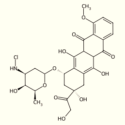 COc1cccc2c1C(=O)C1C(O)=C3C(=C(O)C1C2=O)C[C@@](O)(C(=O)CO)C[C@@H]3OC1C[C@H](NCl)[C@H](O)[C@H](C)O1